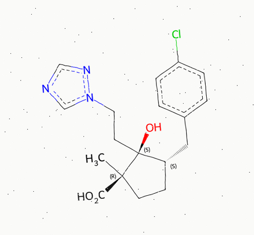 C[C@@]1(C(=O)O)CC[C@@H](Cc2ccc(Cl)cc2)[C@@]1(O)CCn1cncn1